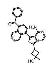 CC1(O)CC(c2nc(-c3ccc(C(=O)c4ccccc4)c4ccccc34)c3c(N)nccn23)C1